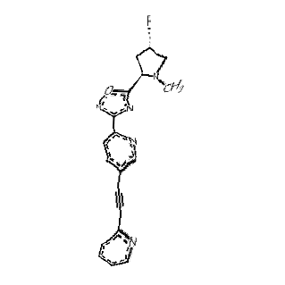 CN1C[C@@H](F)C[C@@H]1c1nc(-c2ccc(C#Cc3ccccn3)cn2)no1